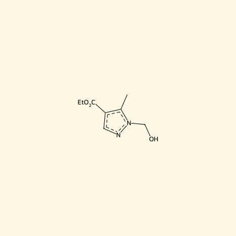 CCOC(=O)c1cnn(CO)c1C